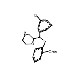 COc1ccccc1OC(c1cccc(Cl)c1)C1CNCCO1